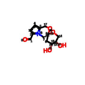 O=Cc1ccc2n1C[C@]1(C[C@@H](O)[C@@H](O)CO1)OC2